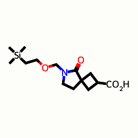 C[Si](C)(C)CCOCN1CCC2(CC(C(=O)O)C2)C1=O